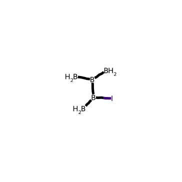 BB(B)B(B)I